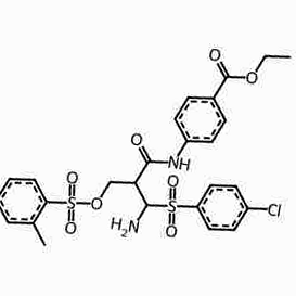 CCOC(=O)c1ccc(NC(=O)C(COS(=O)(=O)c2ccccc2C)C(N)S(=O)(=O)c2ccc(Cl)cc2)cc1